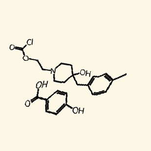 Cc1ccc(CC2(O)CCN(CCOC(=O)Cl)CC2)cc1.O=C(O)c1ccc(O)cc1